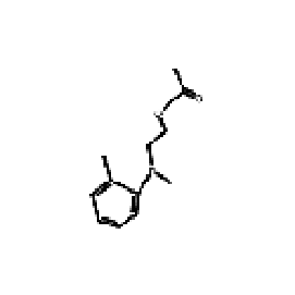 CC(=O)OCCN(C)c1ccccc1C